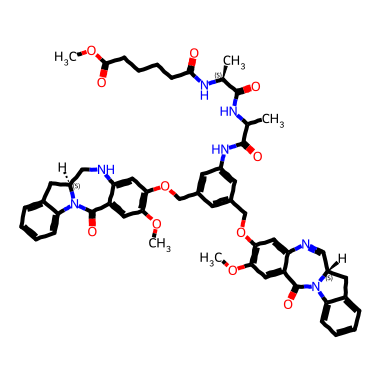 COC(=O)CCCCC(=O)N[C@@H](C)C(=O)NC(C)C(=O)Nc1cc(COc2cc3c(cc2OC)C(=O)N2c4ccccc4C[C@H]2C=N3)cc(COc2cc3c(cc2OC)C(=O)N2c4ccccc4C[C@H]2CN3)c1